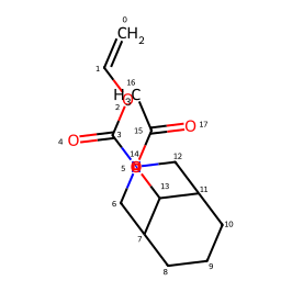 C=COC(=O)N1CC2CCCC(C1)C2OC(C)=O